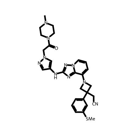 CSc1cccc(C2(CC#N)CN(c3cccn4nc(Nc5cnn(CC(=O)N6CCN(C)CC6)c5)nc34)C2)c1